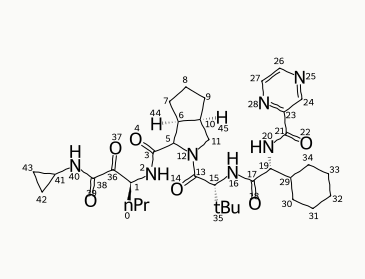 CCC[C@H](NC(=O)C1[C@H]2CCC[C@H]2CN1C(=O)[C@H](NC(=O)[C@H](NC(=O)c1cnccn1)C1CCCCC1)C(C)(C)C)C(=O)C(=O)NC1CC1